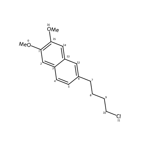 COc1cc2ccc(CCCCCl)cc2cc1OC